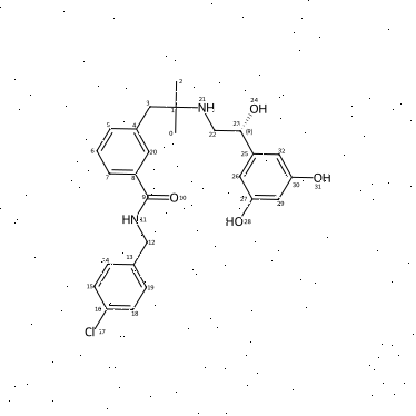 CC(C)(Cc1cccc(C(=O)NCc2ccc(Cl)cc2)c1)NC[C@H](O)c1cc(O)cc(O)c1